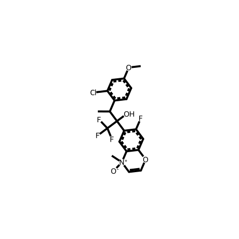 COc1ccc(C(C)C(O)(c2cc3c(cc2F)OC=C[N+]3(C)[O-])C(F)(F)F)c(Cl)c1